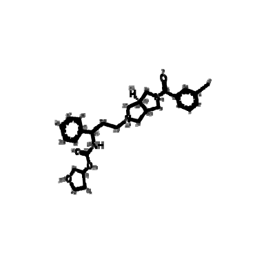 Cc1cccc(C(=O)N2CC3CN(CCC(NC(=O)OC4CCOC4)c4ccccc4)C[C@H]3C2)c1